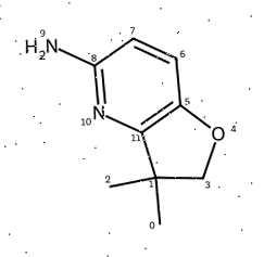 CC1(C)COc2ccc(N)nc21